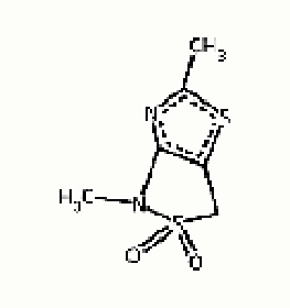 Cc1nc2c(s1)CS(=O)(=O)N2C